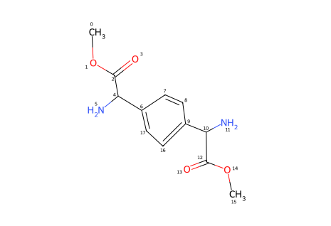 COC(=O)C(N)c1ccc(C(N)C(=O)OC)cc1